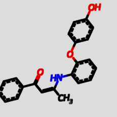 C/C(=C/C(=O)c1ccccc1)Nc1ccccc1Oc1ccc(O)cc1